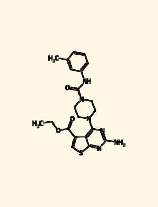 CCOC(=O)c1csc2nc(N)nc(N3CCN(C(=O)Nc4cccc(C)c4)CC3)c12